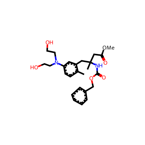 COC(=O)CC(C)(Cc1cc(N(CCO)CCO)ccc1C)NC(=O)OCc1ccccc1